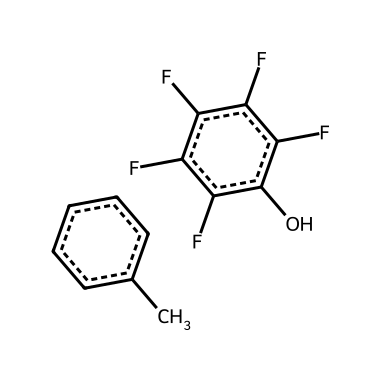 Cc1ccccc1.Oc1c(F)c(F)c(F)c(F)c1F